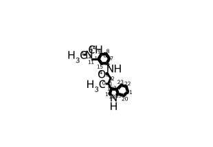 CC(CC(=O)Nc1cccc(CN(C)C)c1)c1c[nH]c2ccccc12